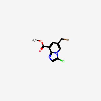 COC(=O)c1cc(CBr)cn2c(Cl)cnc12